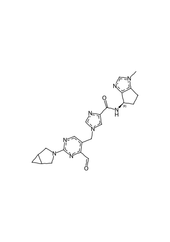 Cn1cnc2c1CC[C@H]2NC(=O)c1cn(Cc2cnc(N3CC4CC4C3)nc2C=O)cn1